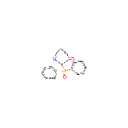 O=C1C=CC=NC1P(=O)(c1ccccc1)c1ccccc1